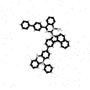 CN1c2ccccc2C(c2ccc(-c3ccccc3)cc2)=NC1n1c2ccc(-c3ccc4c(c3)Oc3ccccc3N4c3ccccc3)cc2c2c3ccccc3ccc21